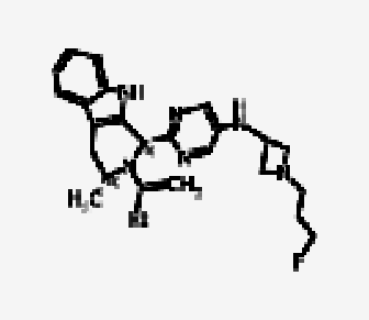 C=C(CC)N1[C@H](c2ncc(NC3CN(CCCF)C3)cn2)c2[nH]c3ccccc3c2C[C@H]1C